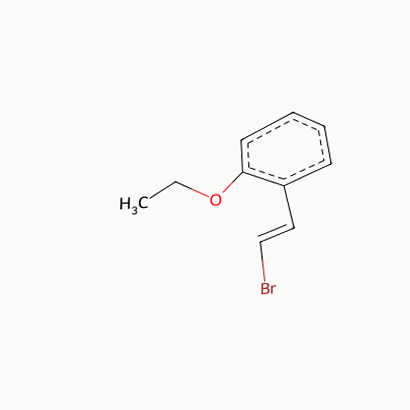 CCOc1ccccc1C=CBr